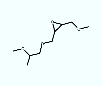 COCC1OC1COCC(C)OC